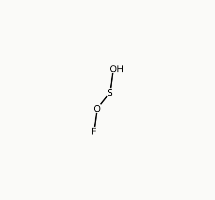 OSOF